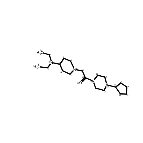 CCN(CC)C1CCN(CC(=O)N2CCN(C3CCCC3)CC2)CC1